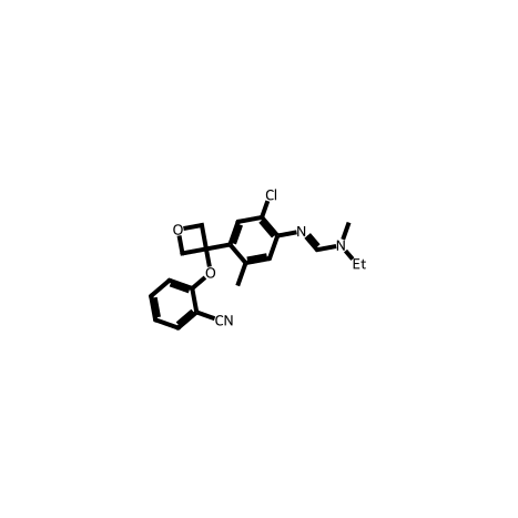 CCN(C)C=Nc1cc(C)c(C2(Oc3ccccc3C#N)COC2)cc1Cl